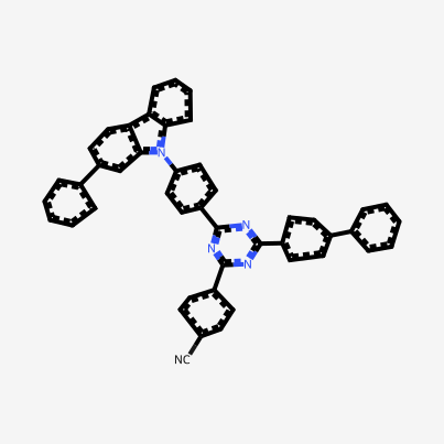 N#Cc1ccc(-c2nc(-c3ccc(-c4ccccc4)cc3)nc(-c3ccc(-n4c5ccccc5c5ccc(-c6ccccc6)cc54)cc3)n2)cc1